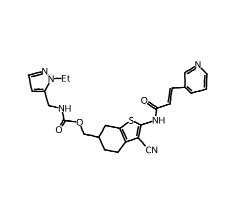 CCn1nccc1CNC(=O)OCC1CCc2c(sc(NC(=O)/C=C/c3cccnc3)c2C#N)C1